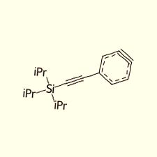 CC(C)[Si](C#Cc1cc#ccc1)(C(C)C)C(C)C